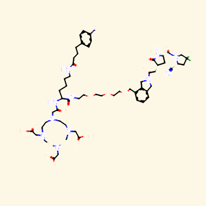 N#C[C@@H]1CC(F)(F)CN1C(=O)[C@@H]1C[C@@H](CC(=O)N2Cc3cccc(COCCOCCOCCNC(=O)C(CCCCNC(=O)CCCc4ccc(I)cc4)NC(=O)CN4CCN(CC(=O)O)CCN(CC(=O)O)CCN(CC(=O)O)CC4)c3C2)C(=O)N1